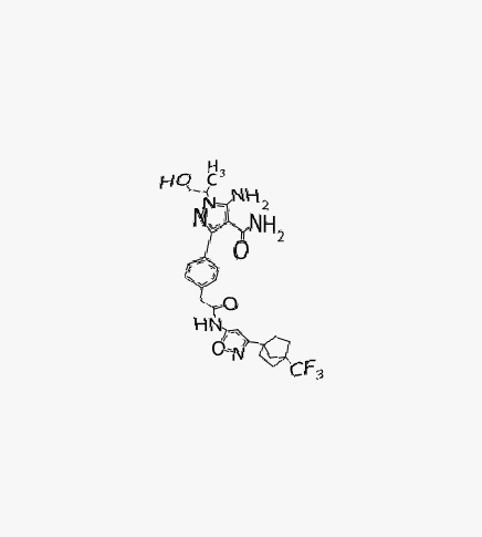 CC(CO)n1nc(-c2ccc(CC(=O)Nc3cc(C45CCC(C(F)(F)F)(CC4)C5)no3)cc2)c(C(N)=O)c1N